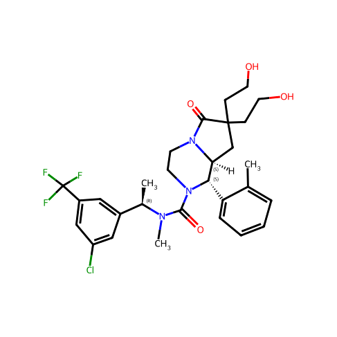 Cc1ccccc1[C@H]1[C@@H]2CC(CCO)(CCO)C(=O)N2CCN1C(=O)N(C)[C@H](C)c1cc(Cl)cc(C(F)(F)F)c1